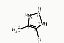 CC1=C(Cl)NNN1